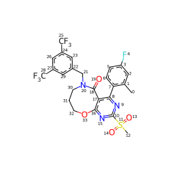 Cc1cc(F)ccc1-c1nc(S(C)(=O)=O)nc2c1C(=O)N(Cc1cc(C(F)(F)F)cc(C(F)(F)F)c1)CCCO2